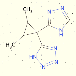 CC1C(C)C1(c1nnc[nH]1)c1nnn[nH]1